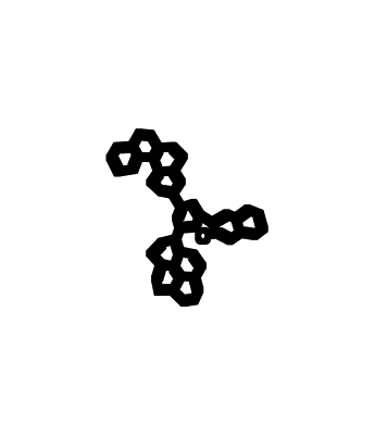 c1ccc2cc3c(cc2c1)oc1c(-c2ccc4ccc5cccc6ccc2c4c56)cc(-c2ccc4c(ccc5ccc6ccccc6c54)c2)cc13